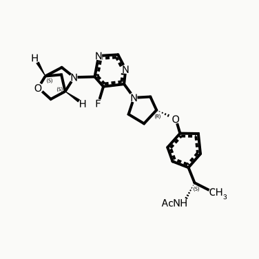 CC(=O)N[C@@H](C)c1ccc(O[C@@H]2CCN(c3ncnc(N4C[C@@H]5C[C@H]4CO5)c3F)C2)cc1